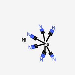 N#[C][Fe]([C]#N)([C]#N)([C]#N)([C]#N)[C]#N.[Ni]